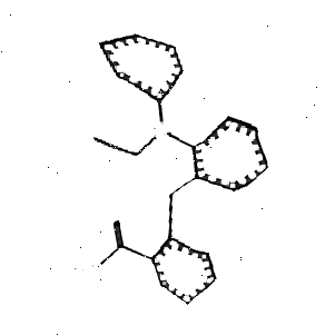 NC(=O)c1ccccc1Cc1ccccc1[SH](CO)c1ccccc1